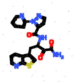 NC(=O)C(=O)C(Cc1csc2ncccc12)NC(=O)c1ccnn1-c1ccccn1